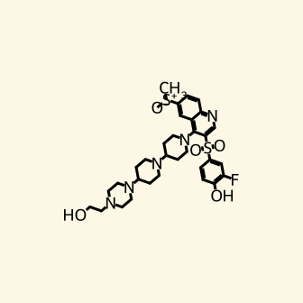 C[S+]([O-])c1ccc2ncc(S(=O)(=O)c3ccc(O)c(F)c3)c(N3CCC(N4CCC(N5CCN(CCO)CC5)CC4)CC3)c2c1